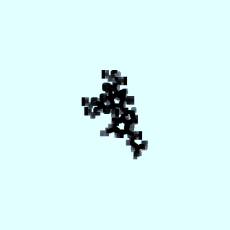 CNC(=O)[C@@]12C[C@@H]1[C@@H](n1cnc3c(NCC(F)F)nc(I)nc31)[C@@H]1OC(C)(C)O[C@@H]12